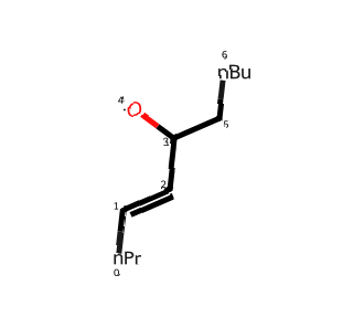 CCCC=CC([O])CCCCC